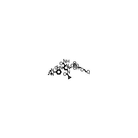 CNC(=O)c1nn(COP(=O)(O)OCCOCCOC)/c(=N/C(=O)C2CC2)cc1Nc1cccc(-c2ncn(C)n2)c1OC